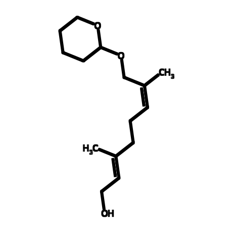 C/C(=C/CC/C(C)=C/CO)COC1CCCCO1